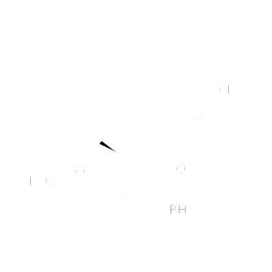 COC1([C@@H]2OBO[C@H]2C2(OC)CCCC2)CCCC1